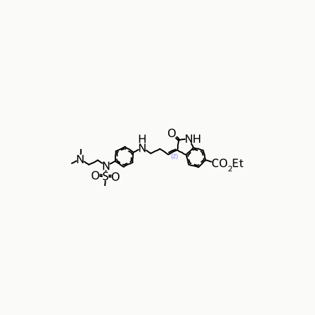 CCOC(=O)c1ccc2c(c1)NC(=O)/C2=C\CCNc1ccc(N(CCN(C)C)S(C)(=O)=O)cc1